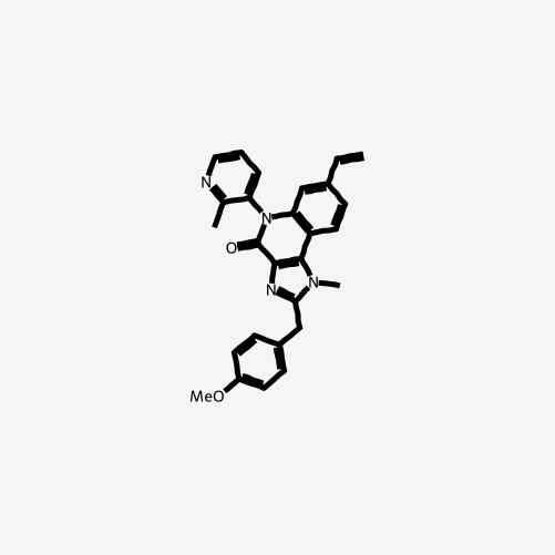 C=Cc1ccc2c3c(nc(Cc4ccc(OC)cc4)n3C)c(=O)n(-c3cccnc3C)c2c1